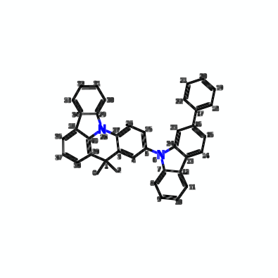 CC1(C)c2cc(-n3c4ccccc4c4ccc(-c5ccccc5)cc43)ccc2-n2c3ccccc3c3cccc1c32